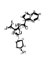 CC(C)[C@H]1CC[C@H](c2nc(C(F)F)c(NC(=O)c3cnn4cccnc34)o2)CC1